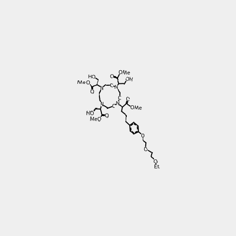 CCOCCOCCOc1ccc(CCCC(C(=O)OC)N2CCN(C(CO)C(=O)OC)CCN(C(CO)C(=O)OC)CCN(C(CO)C(=O)OC)CC2)cc1